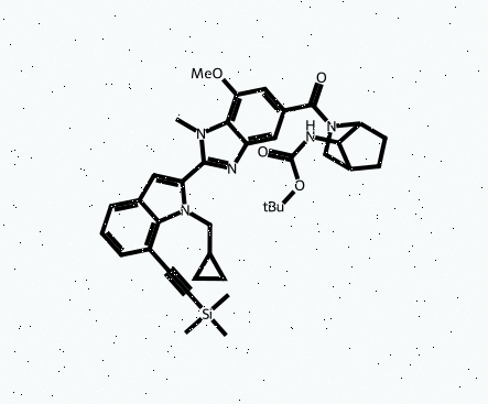 COc1cc(C(=O)N2CC3CCC2C3NC(=O)OC(C)(C)C)cc2nc(-c3cc4cccc(C#C[Si](C)(C)C)c4n3CC3CC3)n(C)c12